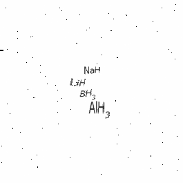 B.[AlH3].[LiH].[NaH]